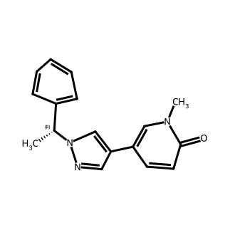 C[C@H](c1ccccc1)n1cc(-c2ccc(=O)n(C)c2)cn1